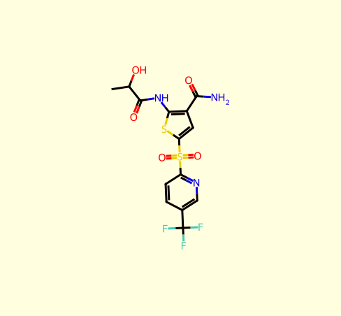 CC(O)C(=O)Nc1sc(S(=O)(=O)c2ccc(C(F)(F)F)cn2)cc1C(N)=O